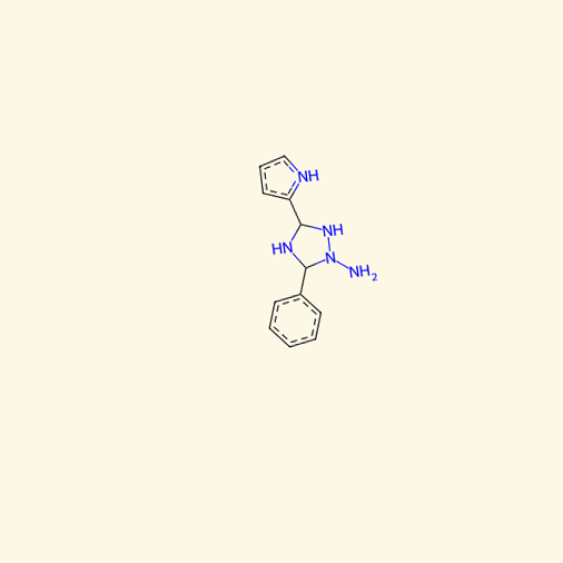 NN1NC(c2ccc[nH]2)NC1c1ccccc1